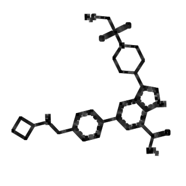 CCS(=O)(=O)N1CCC(c2c[nH]c3c(C(N)=O)cc(-c4ccc(CNC5CCC5)cc4)cc23)CC1